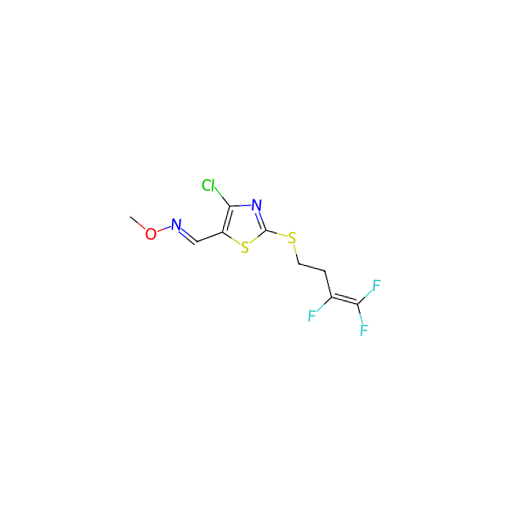 CON=Cc1sc(SCCC(F)=C(F)F)nc1Cl